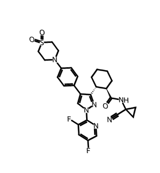 N#CC1(NC(=O)[C@@H]2CCCC[C@H]2c2nn(-c3ncc(F)cc3F)cc2-c2ccc(N3CCS(=O)(=O)CC3)cc2)CC1